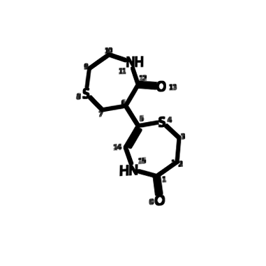 O=C1[C]CSC(C2CSCCNC2=O)=CN1